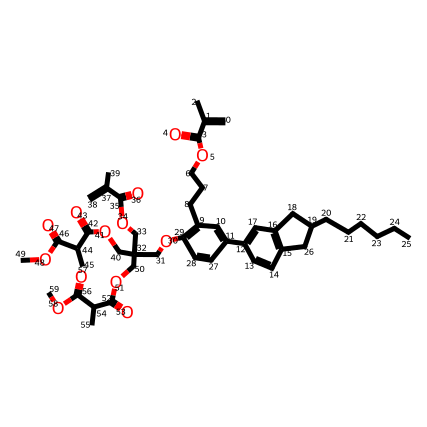 C=C(C)C(=O)OCCCc1cc(-c2ccc3c(c2)CC(CCCCCC)C3)ccc1OCC(COC(=O)C(=C)C)(COC(=O)C(C)C(=O)OC)COC(=O)C(C)C(=O)OC